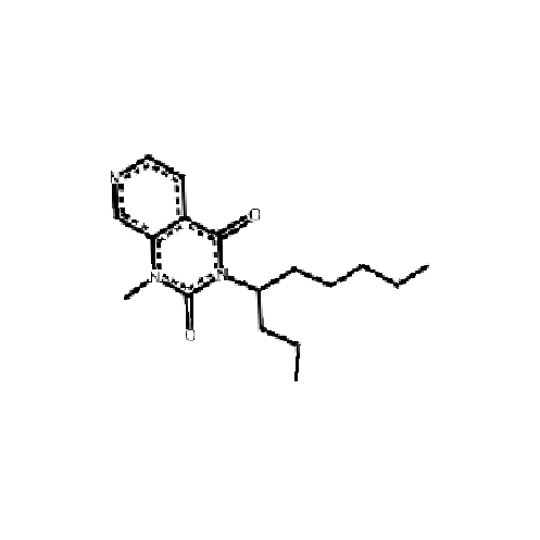 CCCCCC(CCC)n1c(=O)c2ccncc2n(C)c1=O